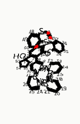 OC1(c2ccc3c(c2C2=CB4N5C=CC=CB5N5C=CC=CB5N5C=CC=CB5N4C=C2)Sc2ccccc2[Si]32c3ccccc3Sc3ccccc32)CCCC1